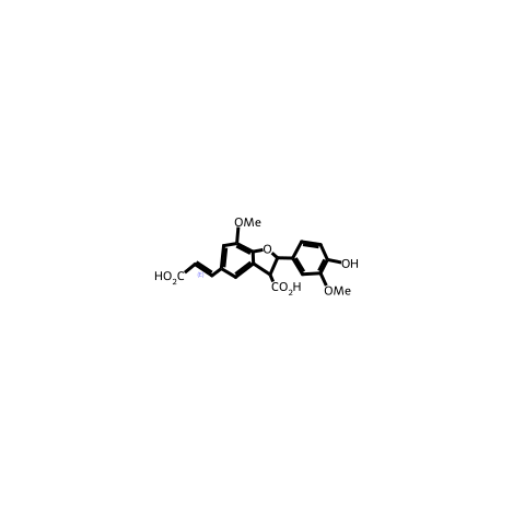 COc1cc(C2Oc3c(OC)cc(/C=C/C(=O)O)cc3C2C(=O)O)ccc1O